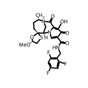 CO[C@H]1CS[C@]2(CC[C@H](C)N3C[C@H]2n2cc(C(=O)NCc4c(F)cc(F)cc4F)c(=O)c(O)c2C3=O)O1